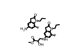 CCCN1C(=O)Cc2cc(N)cc(F)c21.CCCN1C(=O)Cc2cc(NCC(O)C(=O)OC)cc(F)c21